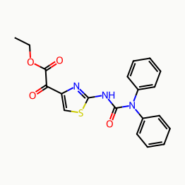 CCOC(=O)C(=O)c1csc(NC(=O)N(c2ccccc2)c2ccccc2)n1